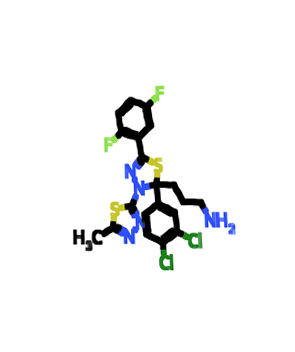 Cc1nnc(N2N=C(c3cc(F)ccc3F)SC2(CCCN)c2ccc(Cl)c(Cl)c2)s1